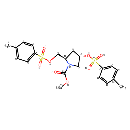 Cc1ccc(S(=O)(=O)OC[C@H]2C[C@H](OS(=O)(=O)c3ccc(C)cc3)CN2C(=O)OC(C)(C)C)cc1